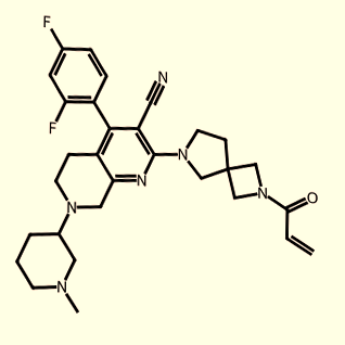 C=CC(=O)N1CC2(CCN(c3nc4c(c(-c5ccc(F)cc5F)c3C#N)CCN(C3CCCN(C)C3)C4)C2)C1